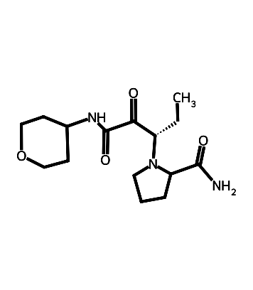 CC[C@@H](C(=O)C(=O)NC1CCOCC1)N1CCCC1C(N)=O